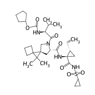 C=C[C@@H]1C[C@]1(NC(=O)[C@@H]1C[C@@]2(CN1C(=O)[C@@H](NC(=O)OC1CCCC1)C(C)C)C(C)(C)C21CCC1)C(=O)NS(=O)(=O)C1CC1